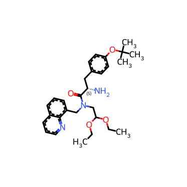 CCOC(CN(Cc1cccc2cccnc12)C(=O)[C@@H](N)Cc1ccc(OC(C)(C)C)cc1)OCC